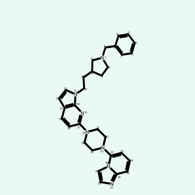 c1ccc(CN2CCC(CCn3ccc4ccc(N5CCN(c6cccc7nccn67)CC5)nc43)C2)cc1